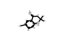 CC1(C)CC(=O)c2cc(I)ccc2O1